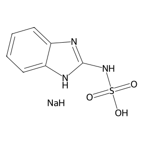 O=S(=O)(O)Nc1nc2ccccc2[nH]1.[NaH]